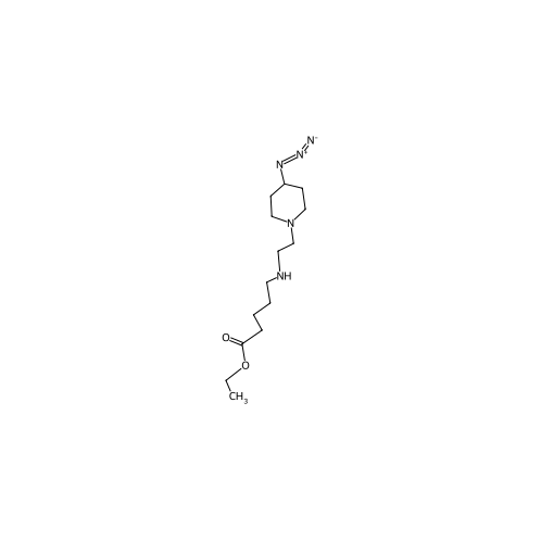 CCOC(=O)CCCCNCCN1CCC(N=[N+]=[N-])CC1